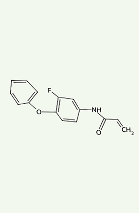 C=CC(=O)Nc1ccc(Oc2ccccc2)c(F)c1